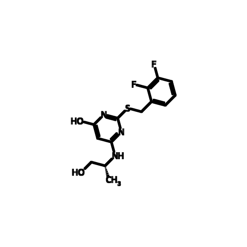 C[C@H](CO)Nc1cc(O)nc(SCc2cccc(F)c2F)n1